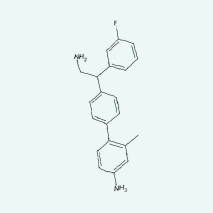 Cc1cc(N)ccc1-c1ccc(C(CN)c2cccc(F)c2)cc1